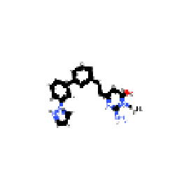 Cn1c(N)nc(CCc2cccc(-c3cccc(-n4cccn4)c3)c2)cc1=O